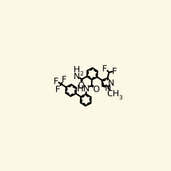 Cn1cc(-c2cccc(C(N)=O)c2C(=O)Nc2ccccc2-c2ccc(C(F)(F)F)cc2)c(C(F)F)n1